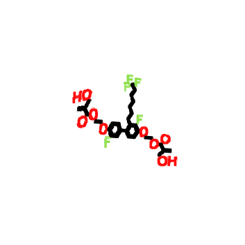 C=C(CO)C(=O)OCCOc1ccc(-c2ccc(OCCOC(=O)C(=C)CO)c(F)c2CCCCCCC(F)(F)F)cc1F